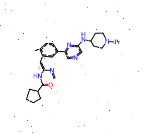 C=N/C(=C\c1cc(-c2cncc(NC3CCN(C(C)C)CC3)n2)ccc1C)NC(=O)C1CCCC1